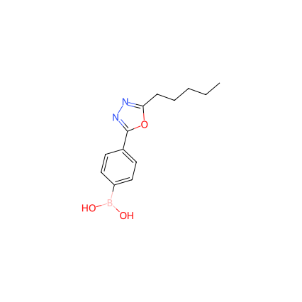 CCCCCc1nnc(-c2ccc(B(O)O)cc2)o1